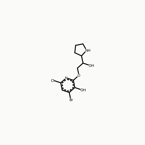 Oc1c(Br)cc(Cl)nc1OCC(O)C1CCCN1